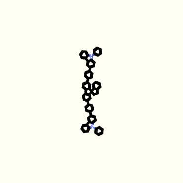 c1ccc(-n2c3ccccc3c3cc(-c4ccc(-c5ccc6c(c5)C5(CCc7ccccc75)c5cc(-c7ccc(-c8ccc9c(c8)c8ccccc8n9-c8ccccc8)cc7)ccc5-6)cc4)ccc32)cc1